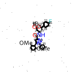 COc1cccc(OC)c1-c1cc(C(=O)N[C@@H](CCc2ccc(F)cc2)CC(=O)OC(C)(C)C)nn1C1CCCC1